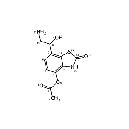 CC(=O)Oc1ccc(C(O)CN)c2sc(=O)[nH]c12